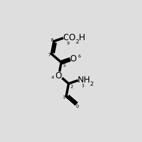 C=CC(N)OC(=O)/C=C\C(=O)O